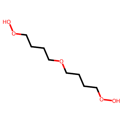 OOCCCCOCCCCOO